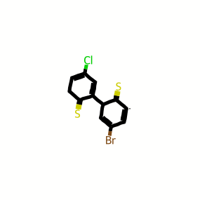 S=C1CC=C(Cl)C=C1C1C=C(Br)C=[C]C1=S